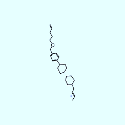 C=CCCCOCc1ccc(C2CCC([C@H]3CC[C@H](C/C=C/C)CC3)CC2)cc1